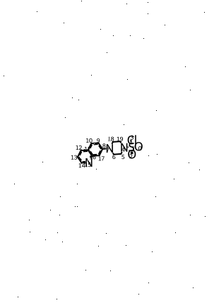 O=S(=O)(Cl)N1CCN(c2ccc3cccnc3c2)CC1